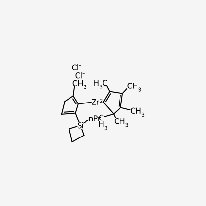 CCC[Si]1(C2=CCC(C)=[C]2[Zr+2][C]2=C(C)C(C)=C(C)C2(C)C)CCC1.[Cl-].[Cl-]